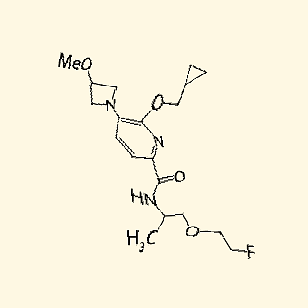 COC1CN(c2ccc(C(=O)NC(C)COCCF)nc2OCC2CC2)C1